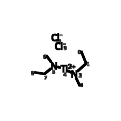 CC[N](C)[Ti+2][N](C)CC.[Cl-].[Cl-]